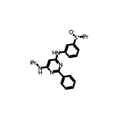 CC(C)Nc1cc(Nc2cccc([S+]([O-])C(C)C)c2)nc(-c2ccccc2)n1